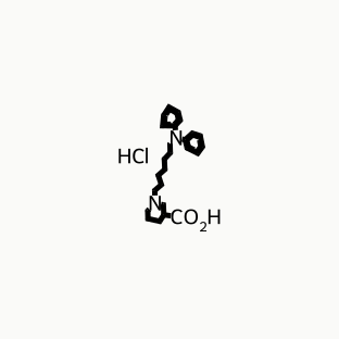 Cl.O=C(O)C1CCCN(CCCCCCCN(c2ccccc2)c2ccccc2)C1